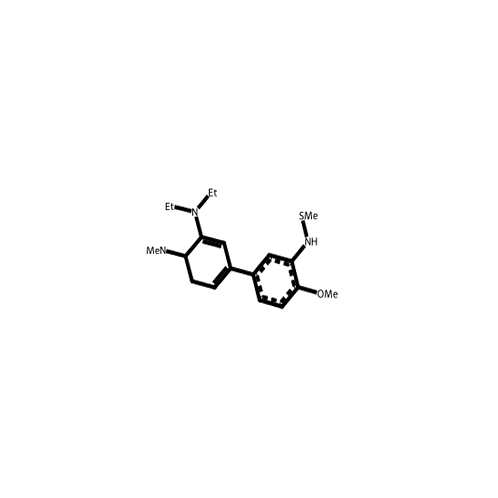 CCN(CC)C1=CC(c2ccc(OC)c(NSC)c2)=CCC1NC